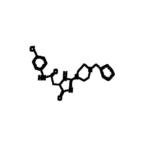 O=C(CC1NC(N2CCN(Cc3ccccc3)CC2)=NC1=O)Nc1ccc(Cl)cc1